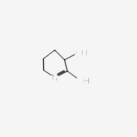 CC1=NCCCC1C